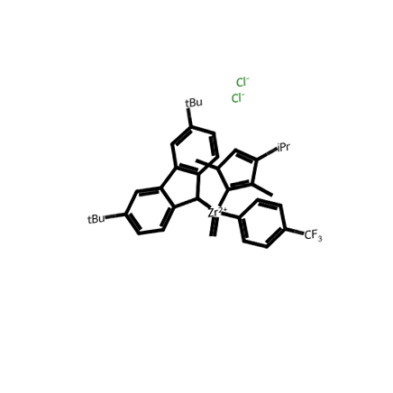 [CH2]=[Zr+2]([C]1=C(C)C(C(C)C)=CC1C)([c]1ccc(C(F)(F)F)cc1)[CH]1c2ccc(C(C)(C)C)cc2-c2cc(C(C)(C)C)ccc21.[Cl-].[Cl-]